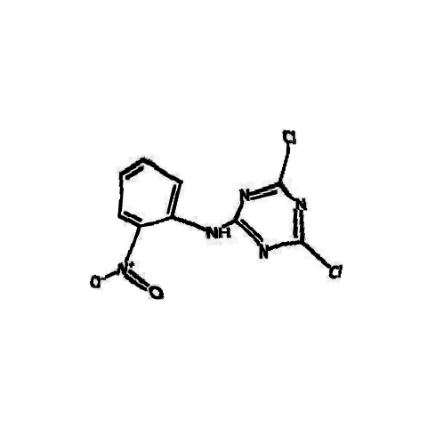 O=[N+]([O-])c1ccccc1Nc1nc(Cl)nc(Cl)n1